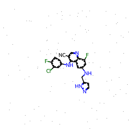 N#Cc1cnc2c(F)cc(NCc3ccn[nH]3)cc2c1Nc1ccc(F)c(Cl)c1